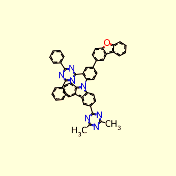 Cc1nc(C)nc(-c2ccc3c(c2)c2ccccc2n3-c2ccc(-c3ccc4oc5ccccc5c4c3)cc2-c2nc(-c3ccccc3)nc(-c3ccccc3)n2)n1